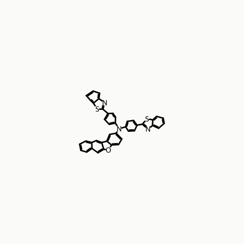 c1ccc2cc3c(cc2c1)oc1ccc(N(c2ccc(-c4nc5ccccc5s4)cc2)c2ccc(-c4nc5ccccc5s4)cc2)cc13